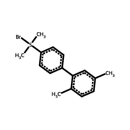 Cc1ccc(C)c(-c2ccc(S(C)(C)Br)cc2)c1